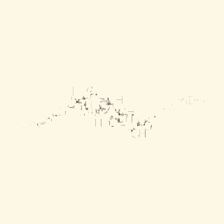 CCCCCCCCCCCCCCCCCCCC(=O)OCCC(C)CCCC(C)(C)c1cc(OC)c(C(C)(C)CCCC(C)CCOC(=O)CCCCCCCCCCCCCCCCCCC)cc1O